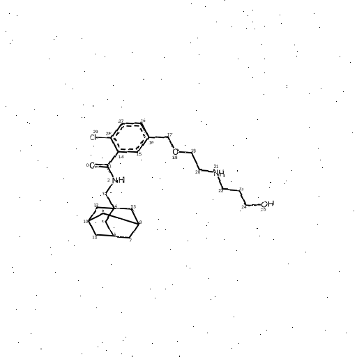 O=C(NCC12CC3CC(CC(C3)C1)C2)c1cc(COCCNCCCO)ccc1Cl